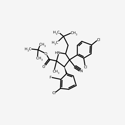 CC(C)(C)CC1NC(C)(C(=O)OC(C)(C)C)[C@H](c2cccc(Cl)c2F)C1(C#N)c1ccc(Cl)cc1Cl